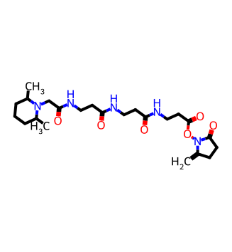 C=C1CCC(=O)N1OC(=O)CCNC(=O)CCNC(=O)CCNC(=O)CN1C(C)CCCC1C